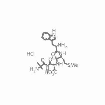 CSCC[C@H](NC(=O)[C@@H](N)Cc1c[nH]c2ccccc12)C(=O)N[C@@H](CC(=O)O)C(=O)NC(=O)C(C)(C)N.Cl